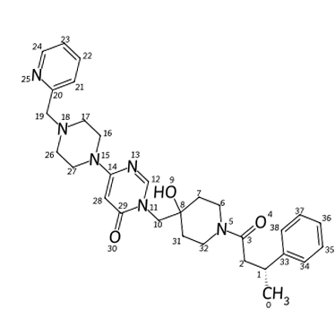 C[C@H](CC(=O)N1CCC(O)(Cn2cnc(N3CCN(Cc4ccccn4)CC3)cc2=O)CC1)c1ccccc1